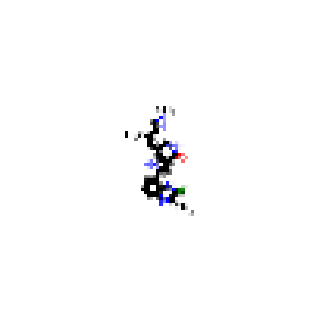 CNCC=C(C)CC1CNC(=O)c2cc(-c3cccc4nc(C)c(F)nc34)[nH]c21